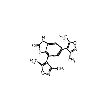 Cc1noc(C)c1-c1cc(-c2c(C)noc2C)c2oc(=O)[nH]c2c1